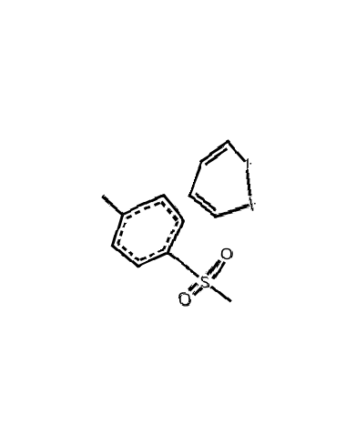 C1=C[I][I]C=C1.Cc1ccc(S(C)(=O)=O)cc1